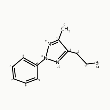 Cc1nn(-c2ccccc2)nc1CCBr